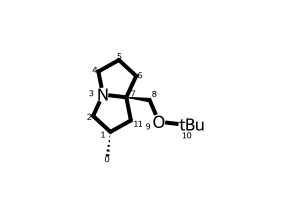 C[C@@H]1CN2CCC[C@]2(COC(C)(C)C)C1